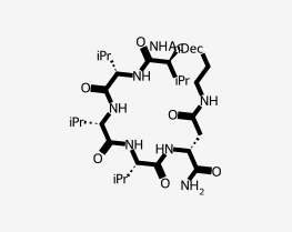 CCCCCCCCCCCCNC(=O)C[C@@H](NC(=O)[C@@H](NC(=O)[C@@H](NC(=O)[C@@H](NC(=O)[C@@H](NC(C)=O)C(C)C)C(C)C)C(C)C)C(C)C)C(N)=O